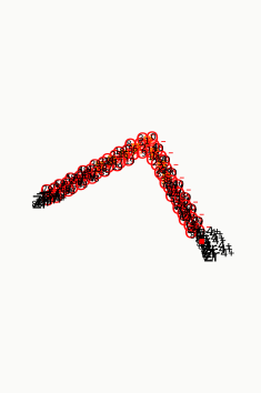 O=P([O-])([O-])[O-].O=P([O-])([O-])[O-].O=P([O-])([O-])[O-].O=P([O-])([O-])[O-].O=P([O-])([O-])[O-].O=P([O-])([O-])[O-].O=P([O-])([O-])[O-].O=P([O-])([O-])[O-].[O]=[W](=[O])([O-])[O-].[O]=[W](=[O])([O-])[O-].[O]=[W](=[O])([O-])[O-].[O]=[W](=[O])([O-])[O-].[O]=[W](=[O])([O-])[O-].[O]=[W](=[O])([O-])[O-].[O]=[W](=[O])([O-])[O-].[O]=[W](=[O])([O-])[O-].[Ti+4].[Ti+4].[Ti+4].[Ti+4].[Ti+4].[Zr+4].[Zr+4].[Zr+4].[Zr+4].[Zr+4]